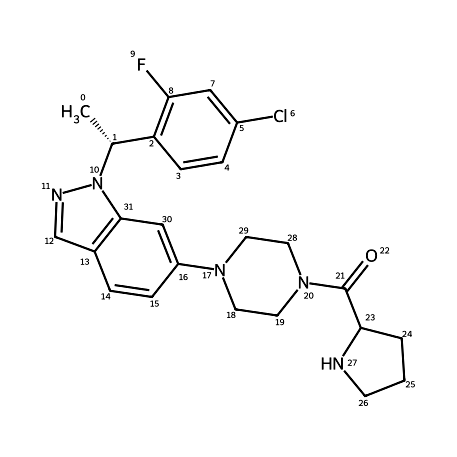 C[C@H](c1ccc(Cl)cc1F)n1ncc2ccc(N3CCN(C(=O)C4CCCN4)CC3)cc21